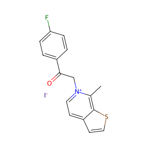 Cc1c2sccc2cc[n+]1CC(=O)c1ccc(F)cc1.[I-]